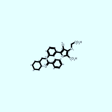 O=C(O)COc1c(C(=O)O)sc(-c2cccc(N(CC3CCCCC3)C(=O)c3ccccc3)c2)c1Cl